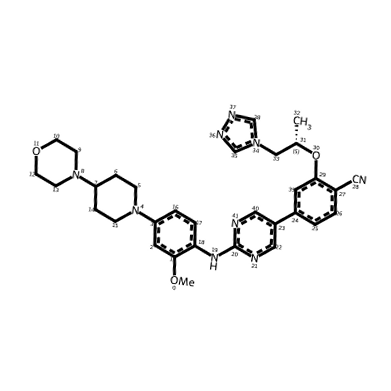 COc1cc(N2CCC(N3CCOCC3)CC2)ccc1Nc1ncc(-c2ccc(C#N)c(O[C@@H](C)Cn3cnnc3)c2)cn1